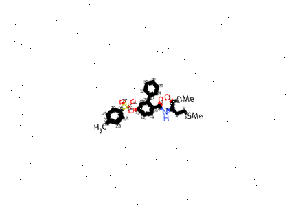 COC(=O)C(CCSC)NC(=O)c1ccc(OS(=O)(=O)c2ccc(C)cc2)cc1-c1ccccc1